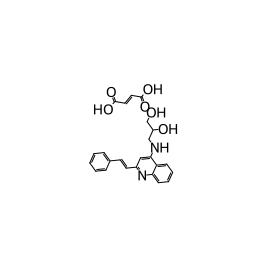 O=C(O)C=CC(=O)O.OCC(O)CNc1cc(C=Cc2ccccc2)nc2ccccc12